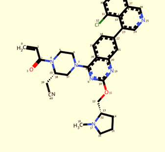 C=CC(=O)N1CCN(c2nc(OC[C@@H]3CCCN3C)nc3cc(-c4cncc5cccc(Cl)c45)ccc23)C[C@@H]1CC#N